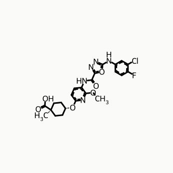 COc1nc(O[C@H]2CC[C@](C)(C(=O)O)CC2)ccc1NC(=O)c1nnc(Nc2ccc(F)c(Cl)c2)o1